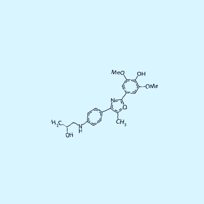 [CH2]C(O)CNc1ccc(-c2nc(-c3cc(OC)c(O)c(OC)c3)oc2C)cc1